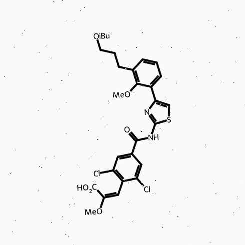 COC(=Cc1c(Cl)cc(C(=O)Nc2nc(-c3cccc(CCCOCC(C)C)c3OC)cs2)cc1Cl)C(=O)O